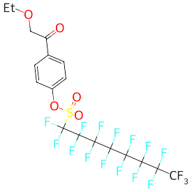 CCOCC(=O)c1ccc(OS(=O)(=O)C(F)(F)C(F)(F)C(F)(F)C(F)(F)C(F)(F)C(F)(F)C(F)(F)C(F)(F)F)cc1